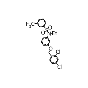 CCN(c1cccc(OCc2ccc(Cl)cc2Cl)c1)S(=O)(=O)c1cccc(C(F)(F)F)c1